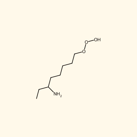 CCC(N)CCCCCOOO